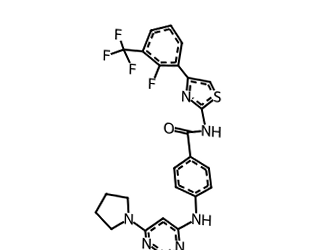 O=C(Nc1nc(-c2cccc(C(F)(F)F)c2F)cs1)c1ccc(Nc2cc(N3CCCC3)ncn2)cc1